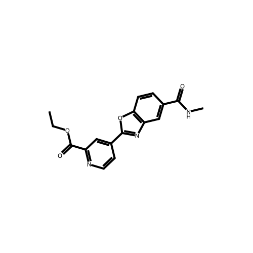 CCOC(=O)c1cc(-c2nc3cc(C(=O)NC)ccc3o2)ccn1